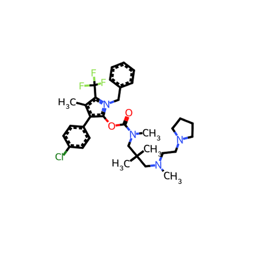 Cc1c(-c2ccc(Cl)cc2)c(OC(=O)N(C)CC(C)(C)CN(C)CCN2CCCC2)n(Cc2ccccc2)c1C(F)(F)F